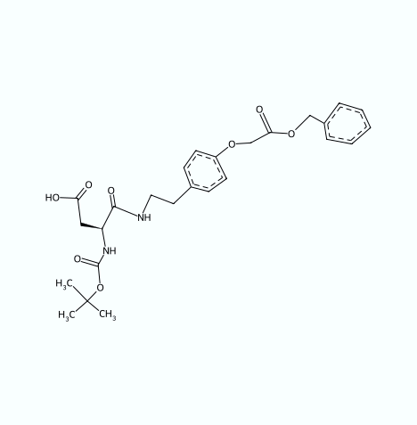 CC(C)(C)OC(=O)N[C@@H](CC(=O)O)C(=O)NCCc1ccc(OCC(=O)OCc2ccccc2)cc1